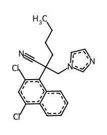 CCCCC(C#N)(Cn1ccnc1)c1c(Cl)cc(Cl)c2ccccc12